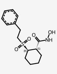 O=C(NO)[C@@H]1CCCC[C@H]1S(=O)(=O)CCc1ccccc1